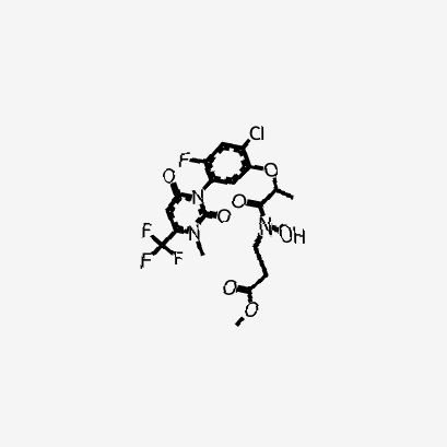 COC(=O)CCN(O)C(=O)C(C)Oc1cc(-n2c(=O)cc(C(F)(F)F)n(C)c2=O)c(F)cc1Cl